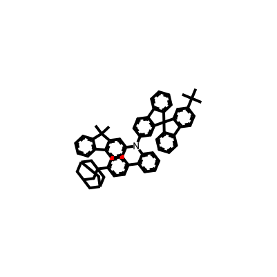 CC(C)(C)c1ccc2c(c1)C1(c3ccccc3-c3ccc(N(c4ccc5c(c4)C(C)(C)c4ccccc4-5)c4ccccc4-c4ccc(C56CC7CC(CC(C7)C5)C6)cc4)cc31)c1ccccc1-2